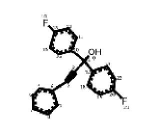 OC(C#Cc1ccccc1)(c1ccc(F)cc1)c1ccc(F)cc1